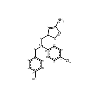 NC1=NC(CN(Cc2ccc(Cl)cc2)c2ccc(Cl)cc2)CO1